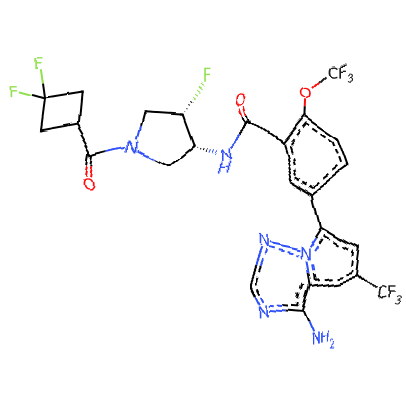 Nc1ncnn2c(-c3ccc(OC(F)(F)F)c(C(=O)N[C@@H]4CN(C(=O)C5CC(F)(F)C5)C[C@@H]4F)c3)cc(C(F)(F)F)c12